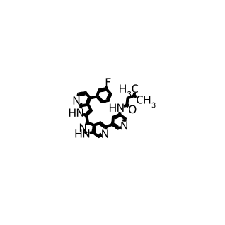 CC(C)CC(=O)Nc1cncc(-c2cc3c(-c4cc5c(-c6cccc(F)c6)ccnc5[nH]4)n[nH]c3cn2)c1